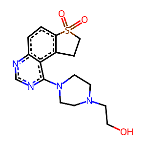 O=S1(=O)CCc2c1ccc1ncnc(N3CCN(CCO)CC3)c21